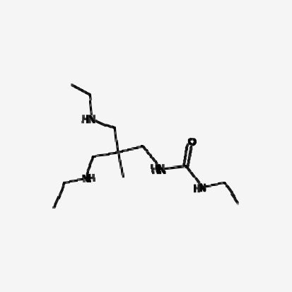 CCNCC(C)(CNCC)CNC(=O)NCC